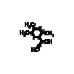 C#CC(O)C1CC(C)C(C)=CC1C